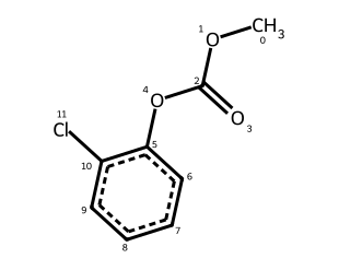 COC(=O)Oc1ccccc1Cl